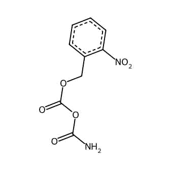 NC(=O)OC(=O)OCc1ccccc1[N+](=O)[O-]